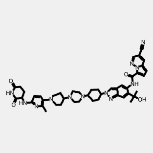 Cc1nc(NC2CCC(=O)NC2=O)ccc1N1CCC(N2CCN(C3CCC(n4cc5cc(NC(=O)c6ccc7cc(C#N)cnn67)c(C(C)(C)O)cc5n4)CC3)CC2)CC1